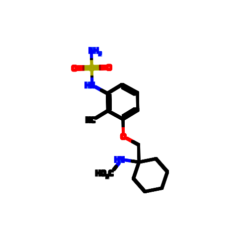 N#Cc1c(NS(N)(=O)=O)cccc1OCC1(NC(=O)O)CCCCC1